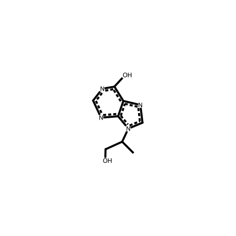 CC(CO)n1cnc2c(O)ncnc21